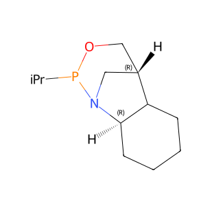 CC(C)P1OC[C@H]2CN1[C@@H]1CCCCC21